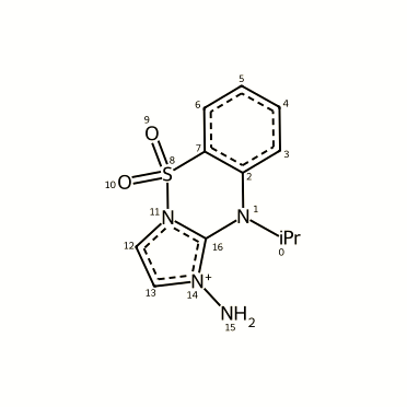 CC(C)N1c2ccccc2S(=O)(=O)n2cc[n+](N)c21